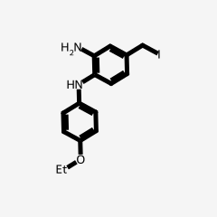 CCOc1ccc(Nc2ccc(CI)cc2N)cc1